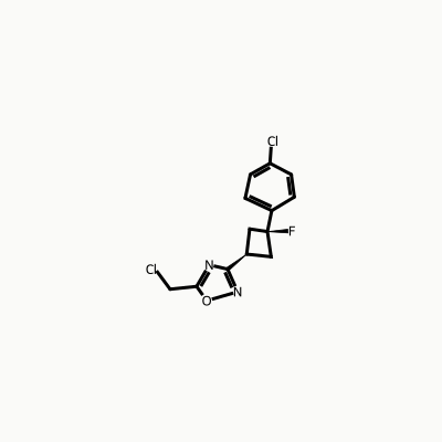 F[C@]1(c2ccc(Cl)cc2)C[C@H](c2noc(CCl)n2)C1